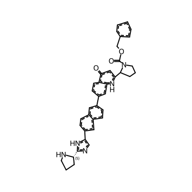 O=C(OCc1ccccc1)N1CCCC1c1cc(=O)c2ccc(-c3ccc4cc(-c5cnc([C@@H]6CCCN6)[nH]5)ccc4c3)cc2[nH]1